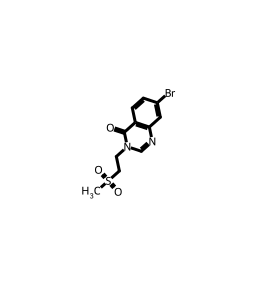 CS(=O)(=O)CCn1cnc2cc(Br)ccc2c1=O